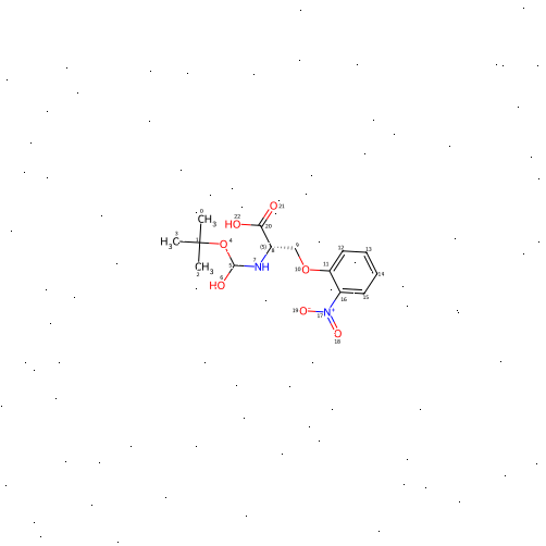 CC(C)(C)OC(O)N[C@@H](COc1ccccc1[N+](=O)[O-])C(=O)O